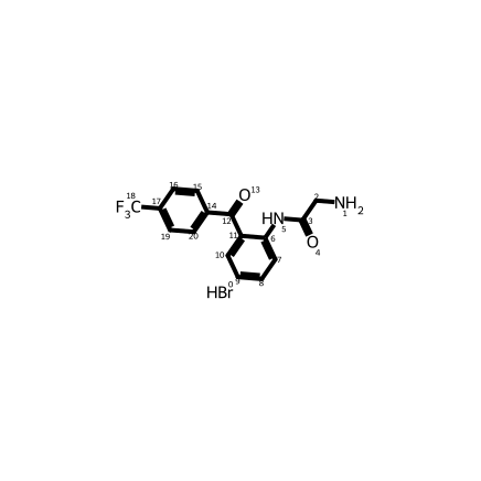 Br.NCC(=O)Nc1ccccc1C(=O)c1ccc(C(F)(F)F)cc1